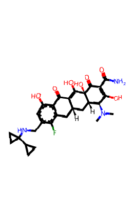 CN(C)[C@@H]1C(O)=C(C(N)=O)C(=O)[C@@]2(O)C(O)=C3C(=O)c4c(O)cc(CNC5(C6CC6)CC5)c(F)c4C[C@H]3C[C@@H]12